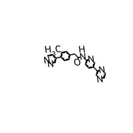 Cc1cc(CC(=O)Nc2ccc(-c3cnccn3)cn2)ccc1-c1ccnnc1